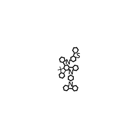 CC1(C)c2ccccc2-c2c1c1c3ccccc3n(-c3ccc4sc5ccccc5c4c3)c1c1c3ccccc3n(-c3ccc(-n4c5ccccc5c5ccccc54)cc3)c21